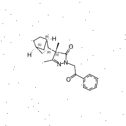 CC1=NN(CC(=O)c2ccccc2)C(=O)[C@@]1(C)[C@@H]1C[C@H]2CC[C@@H]1C2